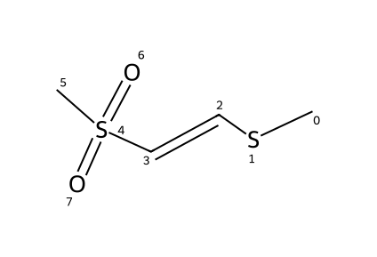 CSC=CS(C)(=O)=O